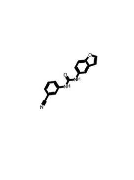 N#Cc1cccc(NC(=O)Nc2ccc3occc3c2)c1